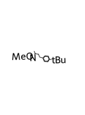 CON=C(C)CCc1ccc(C(C)(C)C)cc1